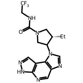 CC[C@H]1CN(C(=O)NCC(F)(F)F)CC1n1cnc2cnc3[nH]ncc3c21